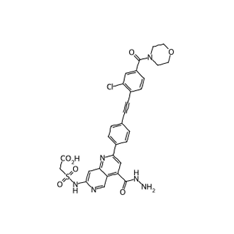 NNC(=O)c1cc(-c2ccc(C#Cc3ccc(C(=O)N4CCOCC4)cc3Cl)cc2)nc2cc(NS(=O)(=O)CC(=O)O)ncc12